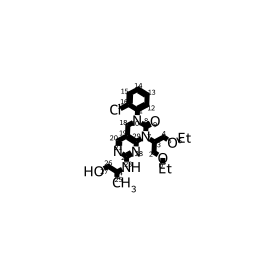 CCOCC(COCC)N1C(=O)N(c2ccccc2Cl)Cc2cnc(NC(C)CO)nc21